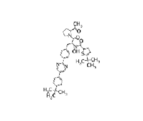 CC(=O)[C@@H]1CCCN1C(=O)[C@H](Cc1ccc(-c2ncc(-c3ccc(C(C)(C)C)cc3)cn2)cc1)N(O)C(=O)c1ccc(C(C)(C)C)s1